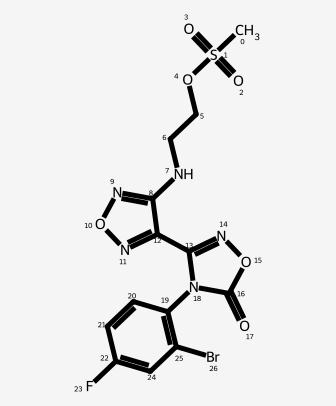 CS(=O)(=O)OCCNc1nonc1-c1noc(=O)n1-c1ccc(F)cc1Br